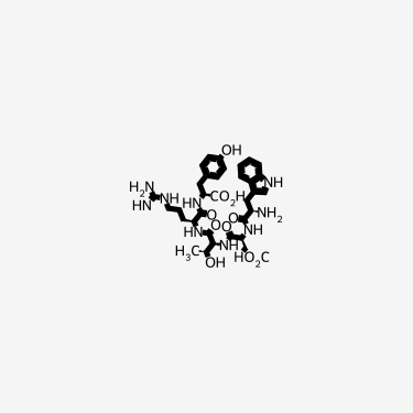 C[C@@H](O)[C@H](NC(=O)[C@H](CC(=O)O)NC(=O)[C@@H](N)Cc1c[nH]c2ccccc12)C(=O)N[C@@H](CCCNC(=N)N)C(=O)N[C@@H](Cc1ccc(O)cc1)C(=O)O